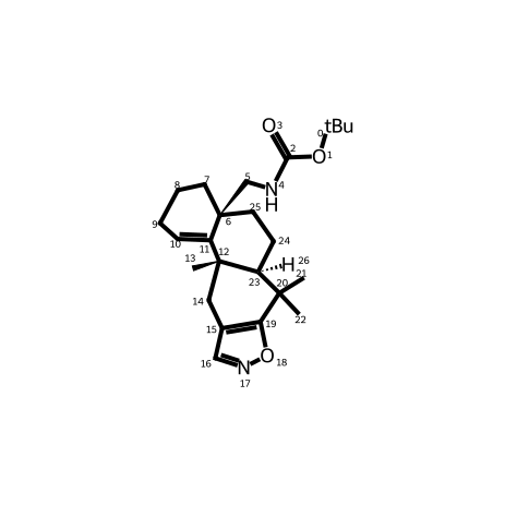 CC(C)(C)OC(=O)NC[C@]12CCCC=C1[C@@]1(C)Cc3cnoc3C(C)(C)[C@@H]1CC2